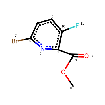 COC(=O)c1nc(Br)ccc1F